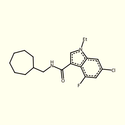 CCn1cc(C(=O)NCC2CCCCCC2)c2c(F)cc(Cl)cc21